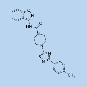 Cc1ccc(-c2nsc(N3CCN(C(=O)Nc4noc5ccccc45)CC3)n2)cc1